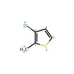 [CH2]c1sccc1Cl